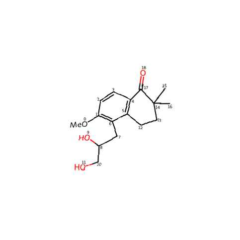 COc1ccc2c(c1CC(O)CO)CCC(C)(C)C2=O